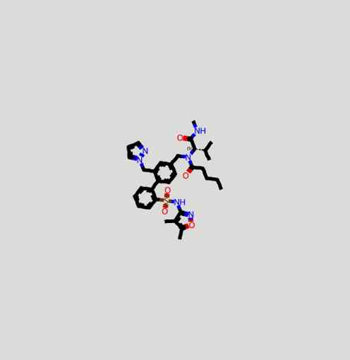 CCCCC(=O)N(Cc1ccc(-c2ccccc2S(=O)(=O)Nc2noc(C)c2C)c(Cn2cccn2)c1)[C@H](C(=O)NC)C(C)C